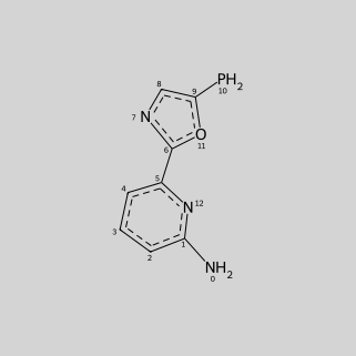 Nc1cccc(-c2ncc(P)o2)n1